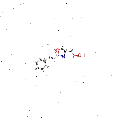 OCCc1coc(C=Cc2ccccc2)n1